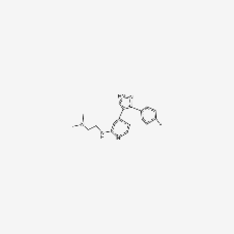 CN(C)CCNc1cc(-c2c[nH]nc2-c2ccc(F)cc2)ccn1